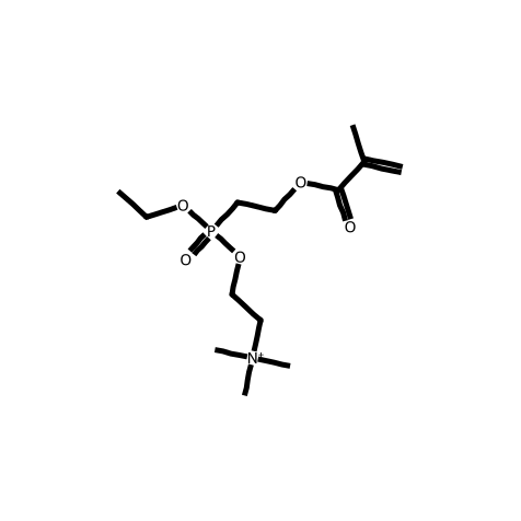 C=C(C)C(=O)OCCP(=O)(OCC)OCC[N+](C)(C)C